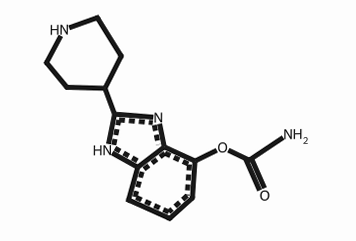 NC(=O)Oc1cccc2[nH]c(C3CCNCC3)nc12